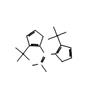 C[Si](C)=[Hf+2]([C]1=C(C(C)(C)C)C=CC1)[C]1=C(C(C)(C)C)C=CC1.[Cl-].[Cl-]